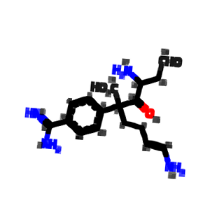 N=C(N)c1ccc(C(CCC=CN)(C(=O)O)C(=O)C(N)CC=O)cc1